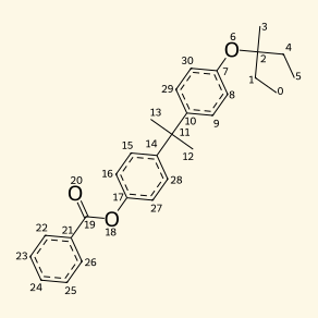 CCC(C)(CC)Oc1ccc(C(C)(C)c2ccc(OC(=O)c3ccccc3)cc2)cc1